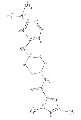 Cc1cc(C(=O)N[C@H]2CC[C@@H](Nc3nccc(N(C)C)n3)CC2)n(C)n1